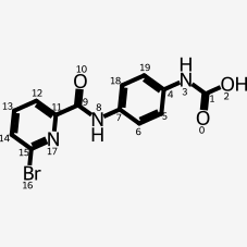 O=C(O)Nc1ccc(NC(=O)c2cccc(Br)n2)cc1